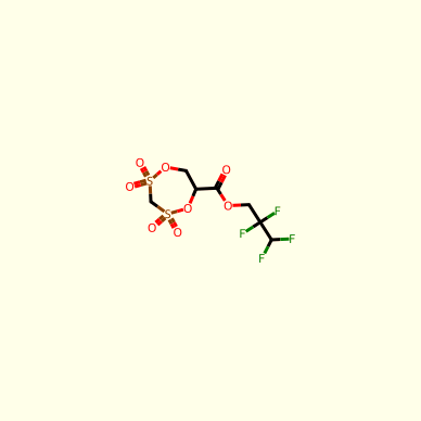 O=C(OCC(F)(F)C(F)F)C1COS(=O)(=O)CS(=O)(=O)O1